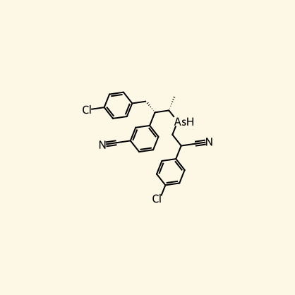 C[C@H]([AsH]CC(C#N)c1ccc(Cl)cc1)[C@@H](Cc1ccc(Cl)cc1)c1cccc(C#N)c1